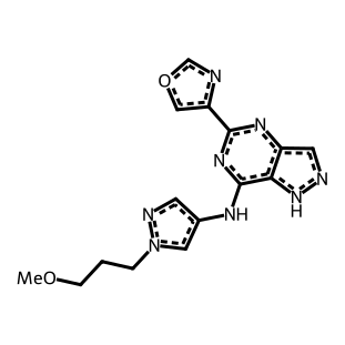 COCCCn1cc(Nc2nc(-c3cocn3)nc3cn[nH]c23)cn1